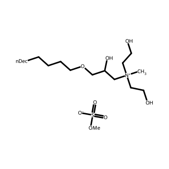 CCCCCCCCCCCCCCOCC(O)C[N+](C)(CCO)CCO.COS(=O)(=O)[O-]